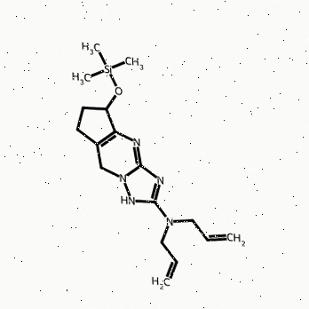 C=CCN(CC=C)C1=NC2=NC3=C(CCC3O[Si](C)(C)C)CN2N1